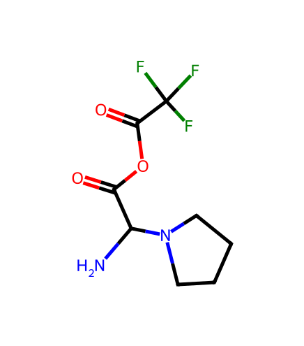 NC(C(=O)OC(=O)C(F)(F)F)N1CCCC1